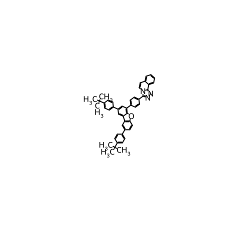 CC(C)(C)c1ccc(-c2ccc3oc4c(-c5ccc(-c6nnc7c8ccccc8ccn67)cc5)cc(-c5ccc(C(C)(C)C)cc5)cc4c3c2)cc1